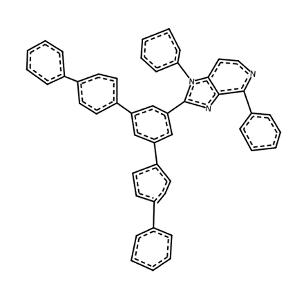 c1ccc(-c2ccc(-c3cc(-c4ccc(-c5ccccc5)cc4)cc(-c4nc5c(-c6ccccc6)nccc5n4-c4ccccc4)c3)cc2)cc1